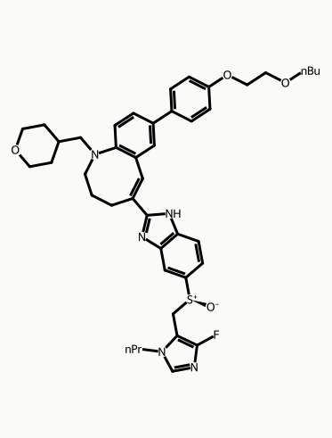 CCCCOCCOc1ccc(-c2ccc3c(c2)/C=C(/c2nc4cc([S@@+]([O-])Cc5c(F)ncn5CCC)ccc4[nH]2)CCCN3CC2CCOCC2)cc1